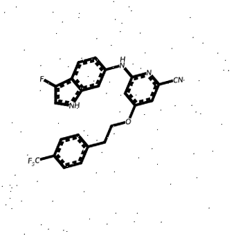 N#Cc1cc(OCCc2ccc(C(F)(F)F)cc2)cc(Nc2ccc3c(F)c[nH]c3c2)n1